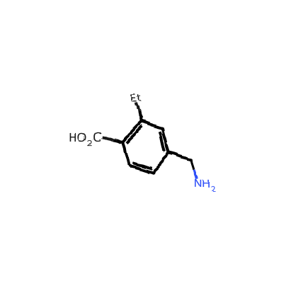 CCc1cc(CN)ccc1C(=O)O